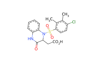 Cc1c(Cl)ccc(S(=O)(=O)N2c3ccccc3NC(=O)C2CC(=O)O)c1C